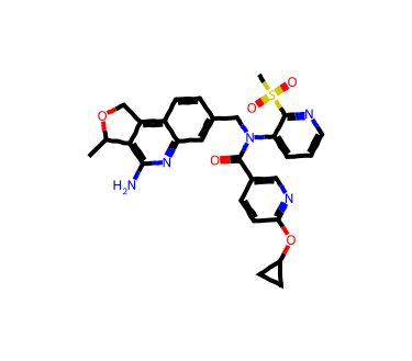 CC1OCc2c1c(N)nc1cc(CN(C(=O)c3ccc(OC4CC4)nc3)c3cccnc3S(C)(=O)=O)ccc21